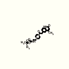 Cc1cc(=O)[nH]c2ccc(CC(=O)N3CCN(CCNC(=O)OC(C)(C)C)CC3)cc12